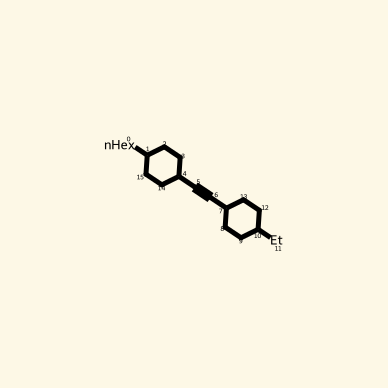 CCCCCCC1CCC(C#CC2CCC(CC)CC2)CC1